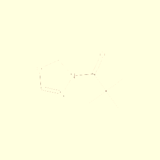 CC(C)(C)C(=O)N1COC=N1